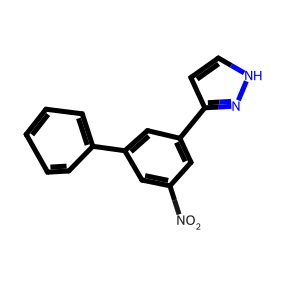 O=[N+]([O-])c1cc(-c2ccccc2)cc(-c2cc[nH]n2)c1